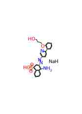 Nc1c(/N=N/c2ccc(-c3ccccc3OCCCO)nc2)cc(S(=O)(=O)O)c2ccccc12.[NaH]